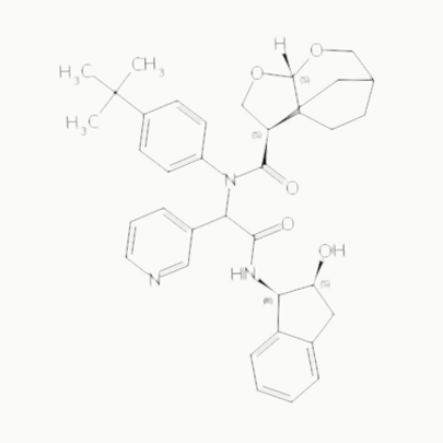 CC(C)(C)c1ccc(N(C(=O)[C@]23CO[C@@H]4OCC(CCC42)C3)C(C(=O)N[C@@H]2c3ccccc3C[C@@H]2O)c2cccnc2)cc1